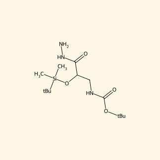 CC(C)(C)OC(=O)NCC(O[Si](C)(C)C(C)(C)C)C(=O)NN